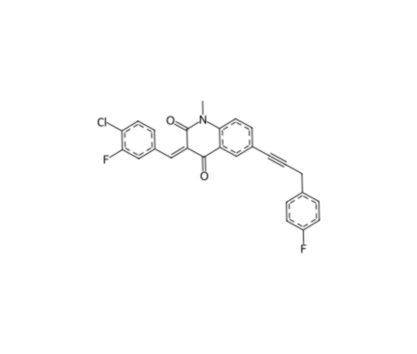 CN1C(=O)/C(=C\c2ccc(Cl)c(F)c2)C(=O)c2cc(C#CCc3ccc(F)cc3)ccc21